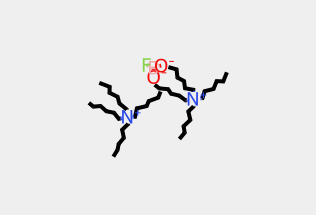 CCCCCC[N+](CCCCCC)(CCCCCC)CCCCCC.CCCCCC[N+](CCCCCC)(CCCCCC)CCCCCC.[O-]B([O-])F